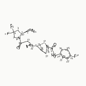 N#C[C@@H]1CC(F)(F)CN1C(=O)CNC1C2CN(C(=O)Nc3ccc(F)cc3)CC21